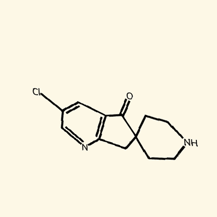 O=C1c2cc(Cl)cnc2CC12CCNCC2